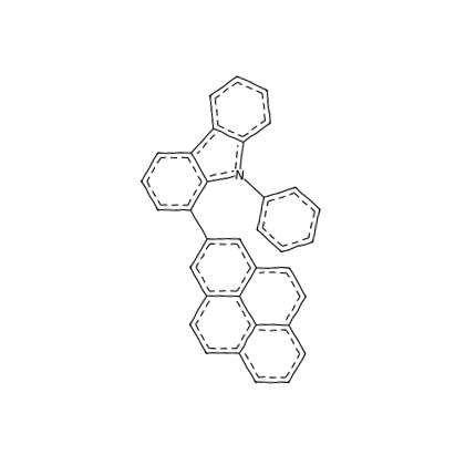 c1ccc(-n2c3ccccc3c3cccc(-c4cc5ccc6cccc7ccc(c4)c5c67)c32)cc1